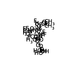 CC(C)(CCc1ccc(-c2ccc(Cl)c3c(N(C(=O)CCC(=O)OCO[PH](O)(O)O)S(C)(=O)=O)nn(CC(F)(F)F)c23)c([C@H](Cc2cc(F)cc(F)c2)NC(=O)Cn2nc(C(F)(F)F)c3c2C(F)(F)C2C[C@H]32)n1)S(C)(=O)=O